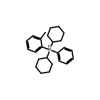 Cc1ccccc1[PH](c1ccccc1)(C1CCCCC1)C1CCCCC1